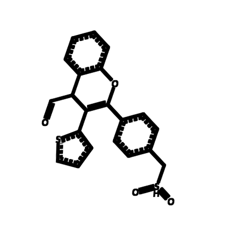 O=CC1C(c2cccs2)=C(c2ccc(C[SH](=O)=O)cc2)Oc2ccccc21